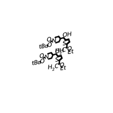 C=C(OCC)c1ccc(C(O)C2CCN(C(=O)OC(C)(C)C)CC2)s1.C=C(OCC)c1ccc(C(O)C2CCN(C(=O)OC(C)(C)C)CC2)s1